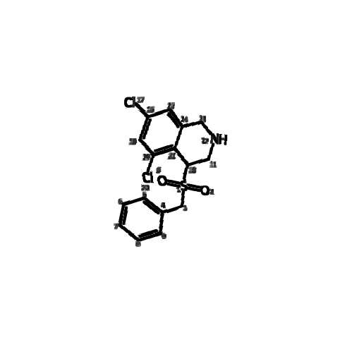 O=S(=O)(Cc1ccccc1)C1CNCc2cc(Cl)cc(Cl)c21